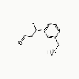 CC(CC=O)c1cccc(CN)c1